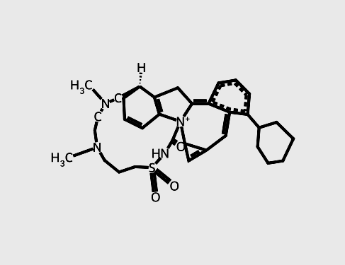 CN1CCCS(=O)(=O)NC(=O)[N+]23C4=C(CC2=c2cccc(C5CCCCC5)c2=CC2=CC23)[C@@H](CC=C4)CN(C)CC1